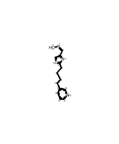 O/N=C\c1coc(CCCCc2cccnc2)n1